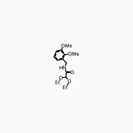 CCOC(OCC)C(=O)NCc1cccc(OC)c1OC